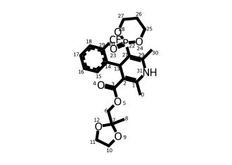 CC1=C(C(=O)OCC2(C)OCCO2)C(c2ccccc2C(F)(F)F)C(P2(=O)OCCCO2)=C(C)N1